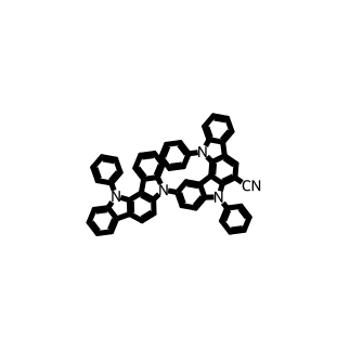 N#Cc1cc2c3ccccc3n(-c3ccccc3)c2c2c3cc(-n4c5ccccc5c5c4ccc4c6ccccc6n(-c6ccccc6)c45)ccc3n(-c3ccccc3)c12